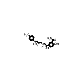 Cc1ccc(N(C)CCCNCC(O)c2ccc(O)c(C(N)=O)c2)cc1